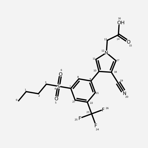 CCCCS(=O)(=O)c1cc(-c2cn(CC(=O)O)cc2C#N)cc(C(F)(F)F)c1